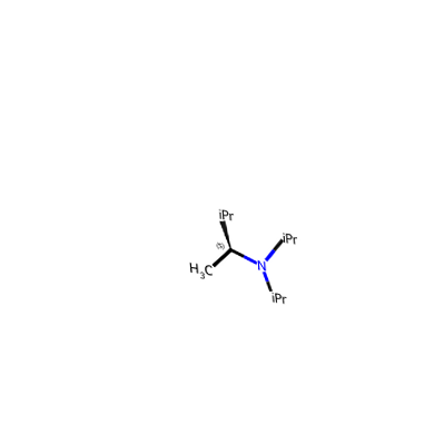 CC(C)[C@H](C)N(C(C)C)C(C)C